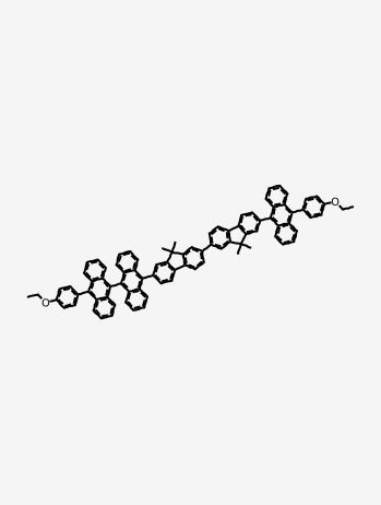 CCOc1ccc(-c2c3ccccc3c(-c3ccc4c(c3)C(C)(C)c3cc(-c5ccc6c(c5)C(C)(C)c5cc(-c7c8ccccc8c(-c8c9ccccc9c(-c9ccc(OCC)cc9)c9ccccc89)c8ccccc78)ccc5-6)ccc3-4)c3ccccc23)cc1